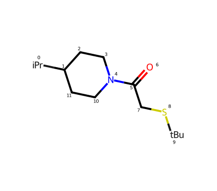 CC(C)C1CCN(C(=O)CSC(C)(C)C)CC1